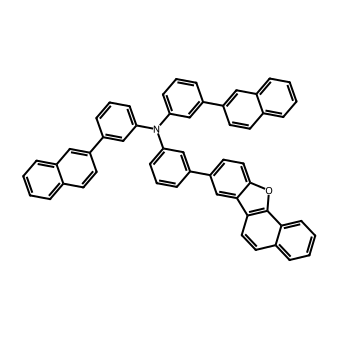 c1cc(-c2ccc3ccccc3c2)cc(N(c2cccc(-c3ccc4ccccc4c3)c2)c2cccc(-c3ccc4oc5c6ccccc6ccc5c4c3)c2)c1